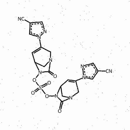 N#Cc1cnn(C2=CC3CN(C2)C(=O)N3OS(=O)(=O)ON2C(=O)N3CC(n4cc(C#N)cn4)=CC2C3)c1